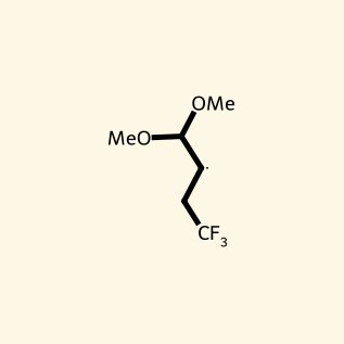 COC([CH]CC(F)(F)F)OC